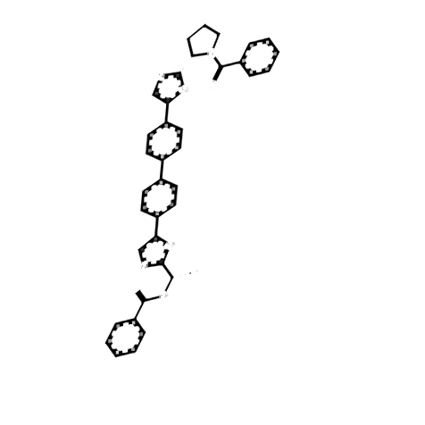 CC(C)[C@H](NC(=O)c1ccccc1)c1ncc(-c2ccc(-c3ccc(-c4cnc([C@@H]5CCCN5C(=O)c5ccccc5)[nH]4)cc3)cc2)[nH]1